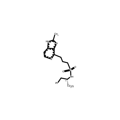 CCOC(=O)[C@H](CC(C)C)NS(=O)(=O)CCCc1nccc2[nH]c(C)nc12